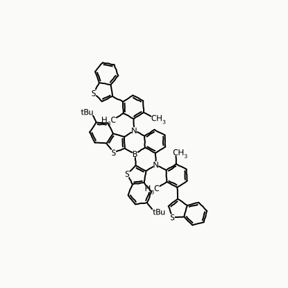 Cc1ccc(-c2csc3ccccc23)c(C)c1N1c2cccc3c2B(c2sc4ccc(C(C)(C)C)cc4c21)c1sc2ccc(C(C)(C)C)cc2c1N3c1c(C)ccc(-c2csc3ccccc23)c1C